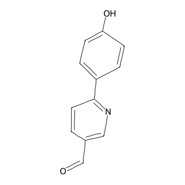 O=Cc1ccc(-c2ccc(O)cc2)nc1